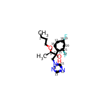 CCCCO[C@H](C)[C@@](O)(Cn1cncn1)c1ccc(F)cc1F